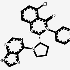 O=c1c2c(Cl)cccc2nc([C@@H]2CCCN2c2ncnc3[nH]cnc23)n1-c1cccnc1